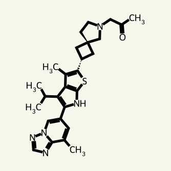 CC(=O)CN1CC[C@]2(C1)C[C@@H](c1sc3[nH]c(-c4cc(C)c5ncnn5c4)c(C(C)C)c3c1C)C2